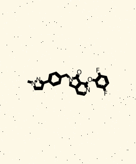 Cn1ccc(-c2ccc(CN3Cc4ccnc(Oc5cc(F)ccc5F)c4C3=O)cc2)n1